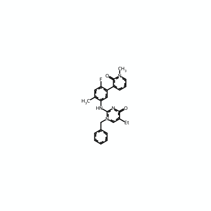 CCc1cn(Cc2ccccc2)c(Nc2cc(-c3cccn(C)c3=O)c(F)cc2C)nc1=O